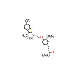 CCCCC(CCOc1ccc(CCC(=O)OC)cc1OC)c1sc2cc(C(F)(F)F)ccc2c1C